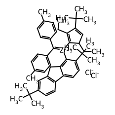 CCC1=[C]([Zr+2](=[C](c2ccc(C)cc2)c2ccc(C)cc2)[c]2c(C(C)(C)C)ccc3c2Cc2cc(C(C)(C)C)ccc2-3)C(CC)C=C1C(C)(C)C.[Cl-].[Cl-]